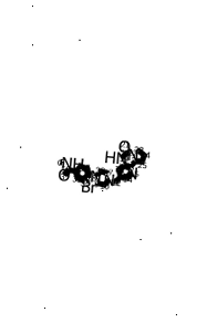 CNC(=O)c1ccc(N2CCN(Cc3cnc4c(c3)NC(=O)N3CCCC43)CC2)c(Br)c1